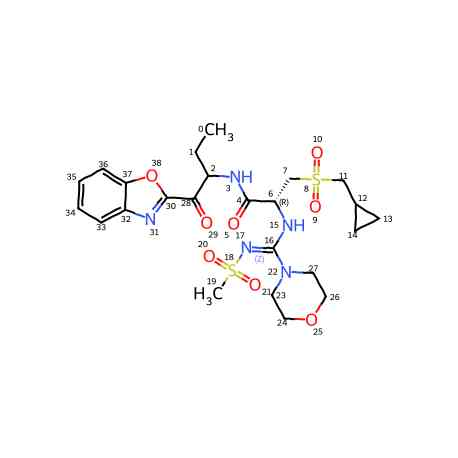 CCC(NC(=O)[C@H](CS(=O)(=O)CC1CC1)N/C(=N/S(C)(=O)=O)N1CCOCC1)C(=O)c1nc2ccccc2o1